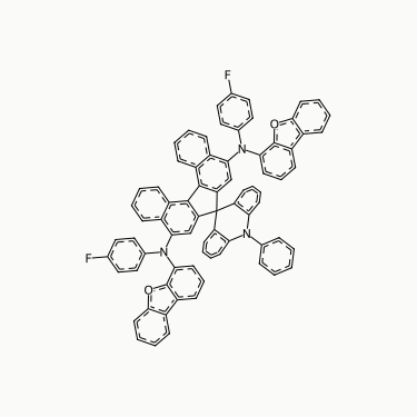 Fc1ccc(N(c2cc3c(c4ccccc24)-c2c(cc(N(c4ccc(F)cc4)c4cccc5c4oc4ccccc45)c4ccccc24)C32c3ccccc3N(c3ccccc3)c3ccccc32)c2cccc3c2oc2ccccc23)cc1